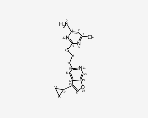 Nc1cc(Cl)nc(SCCc2cc3c(C4CC4)coc3cn2)n1